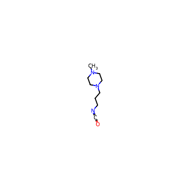 CN1CCN(CCCN=C=O)CC1